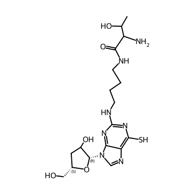 CC(O)C(N)C(=O)NCCCCNc1nc(S)c2ncn([C@@H]3O[C@H](CO)CC3O)c2n1